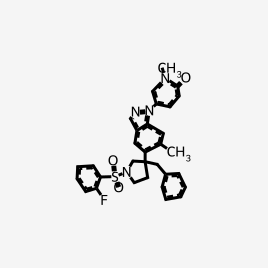 Cc1cc2c(cnn2-c2ccc(=O)n(C)c2)cc1C1(Cc2ccccc2)CCN(S(=O)(=O)c2ccccc2F)C1